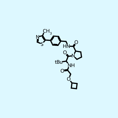 Cc1ncsc1-c1ccc(CNC(=O)C2CCCN2C(=O)C(NC(=O)COC2CCC2)C(C)(C)C)cc1